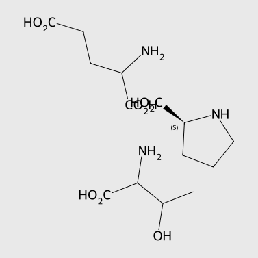 CC(O)C(N)C(=O)O.NC(CCC(=O)O)C(=O)O.O=C(O)[C@@H]1CCCN1